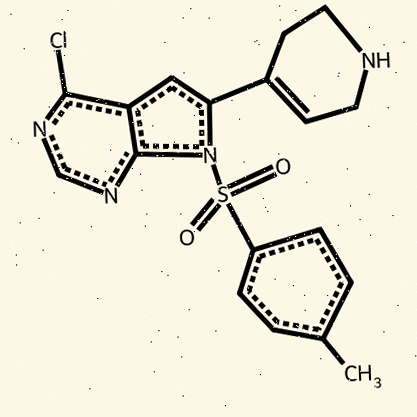 Cc1ccc(S(=O)(=O)n2c(C3=CCNCC3)cc3c(Cl)ncnc32)cc1